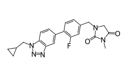 CN1C(=O)CN(Cc2ccc(-c3ccc4c(c3)nnn4CC3CC3)c(F)c2)C1=O